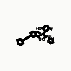 O=C(Nc1nccs1)C(c1cc(F)ccc1O)N1Cc2ccc(C#Cc3ccccc3)cc2C1=O